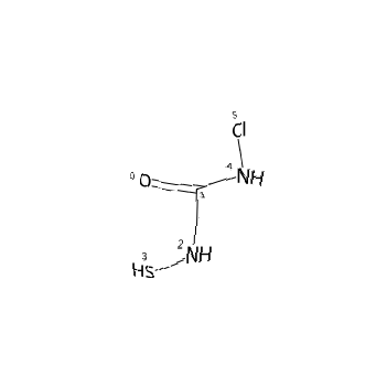 O=C(NS)NCl